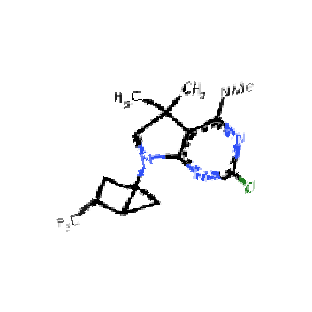 CNc1nc(Cl)nc2c1C(C)(C)CN2C12CC(C(F)(F)F)C1C2